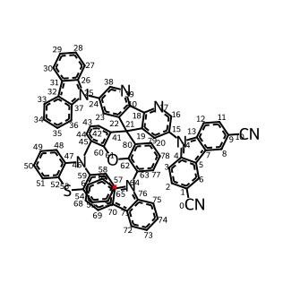 N#Cc1ccc2c(c1)c1cc(C#N)ccc1n2-c1cnc2c(c1)C1(c3cc(-n4c5ccccc5c5ccccc54)cnc3-2)c2cccc(N3c4ccccc4Sc4ccccc43)c2Oc2c(-n3c4ccccc4c4ccccc43)cccc21